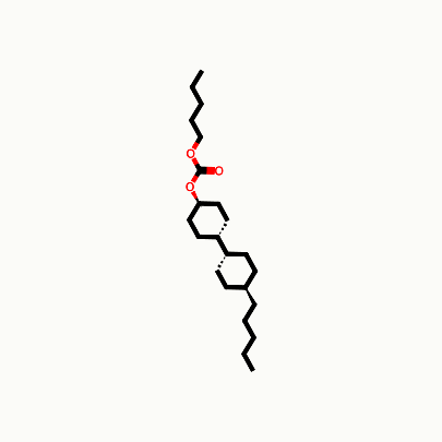 CCCCCOC(=O)O[C@H]1CC[C@H]([C@H]2CC[C@H](CCCCC)CC2)CC1